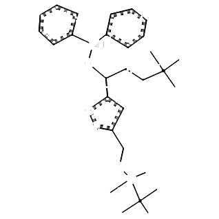 CC(C)(C)CCC(O[SiH](c1ccccc1)c1ccccc1)c1cc(CO[Si](C)(C)C(C)(C)C)no1